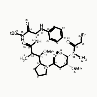 CC[C@H](C)[C@@H]([C@@H](CC(=O)N1CCC[C@H]1[C@H](OC)[C@@H](C)C(=O)N[C@@H](Nc1ccccc1)C(=O)NC(C)(C)C)OC)N(C)C(=O)CC(C)C